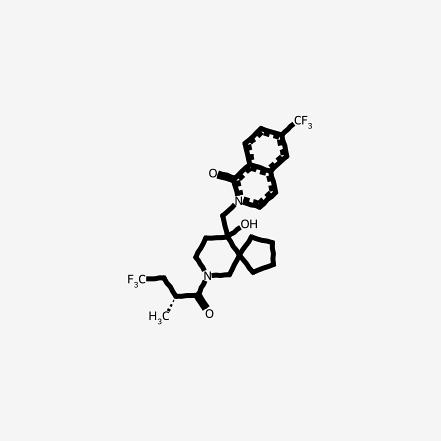 C[C@H](CC(F)(F)F)C(=O)N1CCC(O)(Cn2ccc3cc(C(F)(F)F)ccc3c2=O)C2(CCCC2)C1